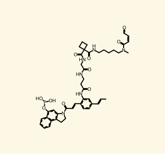 C/C=C/c1ccc(/C=C/C(=O)N2CCc3c2cc(OP(O)O)c2ccccc32)c(NC(=O)CCNC(=O)CNC(=O)C2(C(=O)NCCCCCN(C)C(=O)/C=C\C=O)CCC2)c1